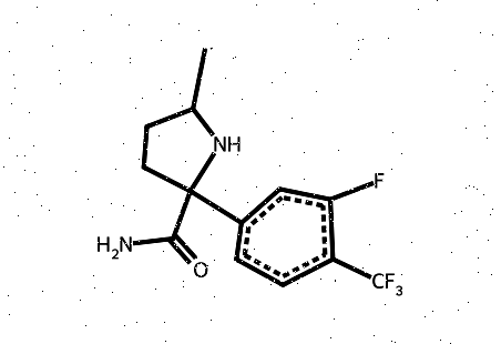 [CH2]C1CCC(C(N)=O)(c2ccc(C(F)(F)F)c(F)c2)N1